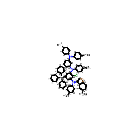 CC(C)(C)c1ccc(N(c2ccc(C(C)(C)C)cc2)c2cccc(N(c3ccc(C(C)(C)C)cc3)c3cc([Si](c4ccccc4)(c4ccccc4)c4ccccc4)cc(N(c4ccc(C(C)(C)C)cc4)c4csc5ccc(C(C)(C)C)cc45)c3Cl)c2)cc1